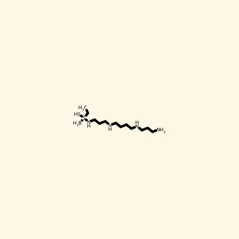 BS(S)(CC)NCCCNCCCCNCCCN